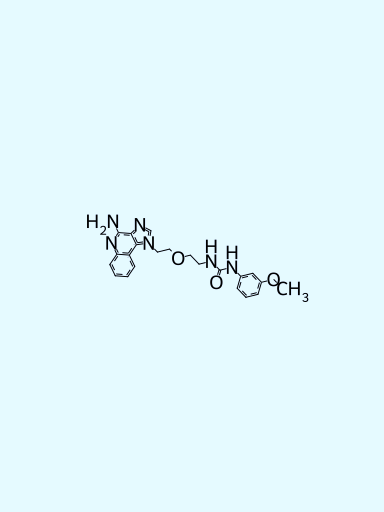 COc1cccc(NC(=O)NCCOCCn2cnc3c(N)nc4ccccc4c32)c1